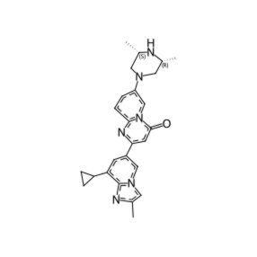 Cc1cn2cc(-c3cc(=O)n4cc(N5C[C@@H](C)N[C@@H](C)C5)ccc4n3)cc(C3CC3)c2n1